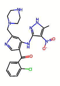 Cc1[nH]nc(Nc2cc(CN3CCNCC3)ncc2C(=O)c2ccccc2Cl)c1[N+](=O)[O-]